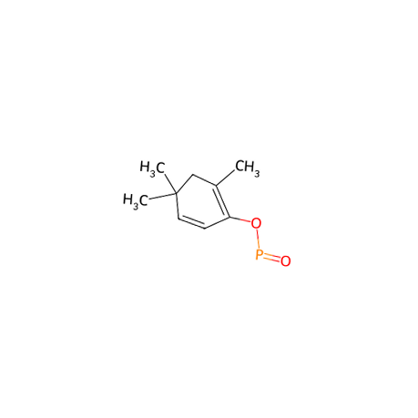 CC1=C(OP=O)C=CC(C)(C)C1